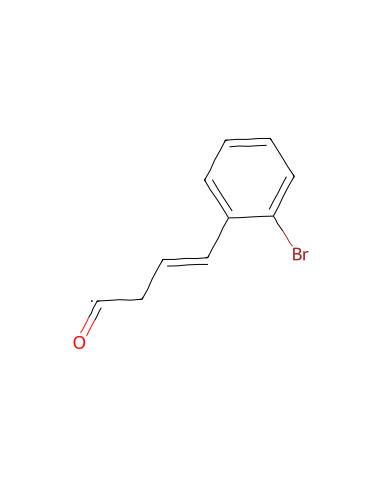 O=[C]C/C=C/c1ccccc1Br